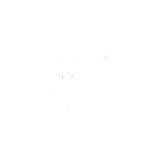 Cl/C(=N\Nc1cccc(Cl)c1)c1ccc(Br)cc1